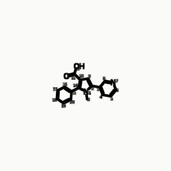 Cn1c(-c2cccnc2)cc(C(=O)O)c1-c1ccccc1